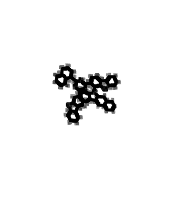 c1ccc2cc3c(cc2c1)c1ccccc1n3-c1c(-c2nc(-c3ccc4c(c3)oc3ccccc34)nc(-c3cccc4ccccc34)n2)ccc2c1oc1ccccc12